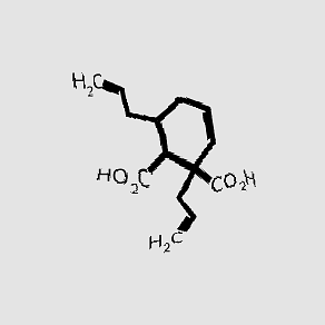 C=CCC1CC=CC(CC=C)(C(=O)O)C1C(=O)O